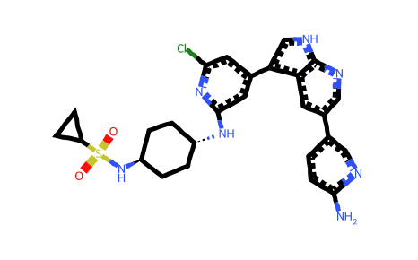 Nc1ccc(-c2cnc3[nH]cc(-c4cc(Cl)nc(N[C@H]5CC[C@H](NS(=O)(=O)C6CC6)CC5)c4)c3c2)cn1